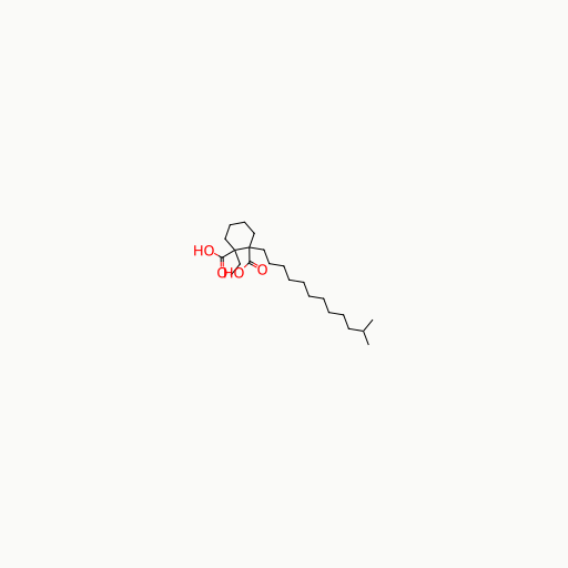 CCC1(C(=O)O)CCCCC1(CCCCCCCCCCC(C)C)C(=O)O